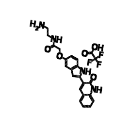 NCCNC(=O)COc1ccc2[nH]c(-c3cc4ccccc4[nH]c3=O)cc2c1.O=C(O)C(F)(F)F